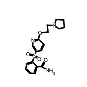 NC(=O)c1ccccc1S(=O)(=O)c1ccc(OCCN2CCCC2)nc1